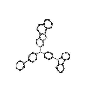 c1ccc(-c2ccc(N(c3ccc(-n4c5ccccc5c5ccccc54)cc3)c3ccc4c(c3)sc3c5ccccc5ccc43)cc2)cc1